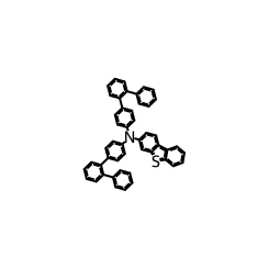 c1ccc(-c2ccccc2-c2ccc(N(c3ccc(-c4ccccc4-c4ccccc4)cc3)c3ccc4c(c3)sc3ccccc34)cc2)cc1